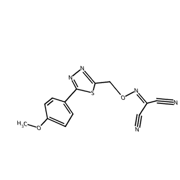 COc1ccc(-c2nnc(CON=C(C#N)C#N)s2)cc1